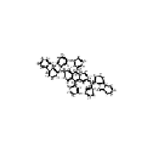 C1=CC2Sc3c(cccc3N(c3ccccc3)c3ccc4c(-c5ccccc5)c5cc(N(c6ccccc6)c6cccc7c6sc6ccccc67)ccc5c(-c5ccccc5)c4c3)C2C=C1